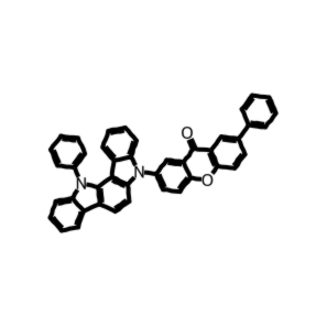 O=c1c2cc(-c3ccccc3)ccc2oc2ccc(-n3c4ccccc4c4c3ccc3c5ccccc5n(-c5ccccc5)c34)cc12